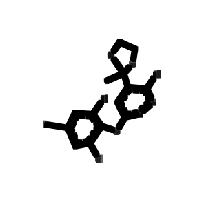 CC1(c2cc(Oc3c(Cl)cc(I)cc3Cl)nnc2Cl)OCCO1